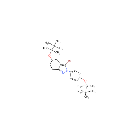 CC(C)(C)[Si](C)(C)Oc1ccc(-n2nc3c(c2Br)CC(O[Si](C)(C)C(C)(C)C)CC3)cc1